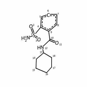 NS(=O)(=O)c1ccccc1C(=O)NC1CCCCC1